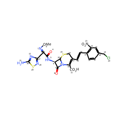 CO/N=C(\C(=O)N[C@@H]1C(=O)N2C(C(=O)O)=C(/C=C/c3ccc(CCl)cc3[N+](=O)[O-])CSC12)c1nsc(N)n1